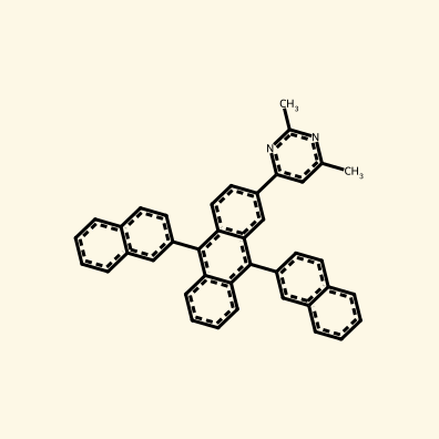 Cc1cc(-c2ccc3c(-c4ccc5ccccc5c4)c4ccccc4c(-c4ccc5ccccc5c4)c3c2)nc(C)n1